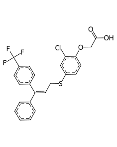 O=C(O)COc1ccc(SCC=C(c2ccccc2)c2ccc(C(F)(F)F)cc2)cc1Cl